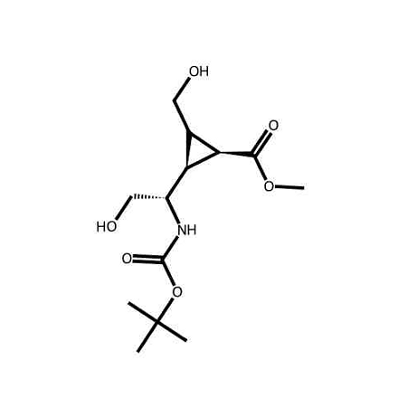 COC(=O)[C@@H]1C(CO)[C@@H]1[C@@H](CO)NC(=O)OC(C)(C)C